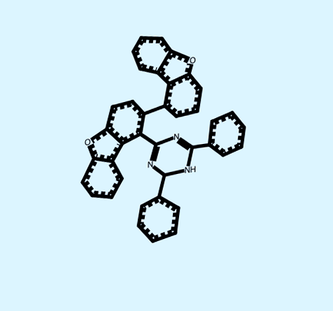 c1ccc(C2=NC(c3c(-c4cccc5oc6ccccc6c45)ccc4oc5ccccc5c34)=NC(c3ccccc3)N2)cc1